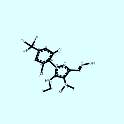 CCNc1c([S+](C)[O-])c(C=NO)nn1-c1c(Cl)cc(C(F)(F)F)cc1Cl